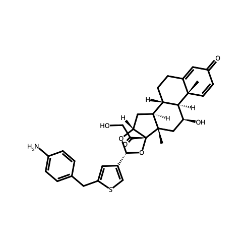 C[C@]12C=CC(=O)C=C1CC[C@@H]1[C@@H]2[C@@H](O)C[C@@]2(C)[C@H]1C[C@H]1O[C@@H](c3csc(Cc4ccc(N)cc4)c3)O[C@]12C(=O)CO